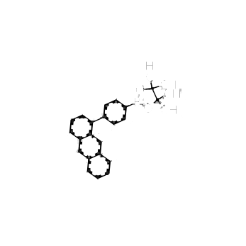 CC1(C)OB(c2ccc(-c3cccc4cc5ccccc5cc34)cc2)OC1(C)C